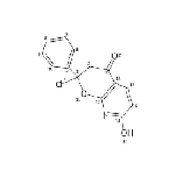 O=C1CC(Cl)(c2ccccc2)Oc2cc(O)ccc21